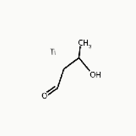 CC(O)CC=O.[Ti]